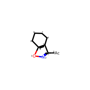 CC(=O)c1noc2c1CCCC2